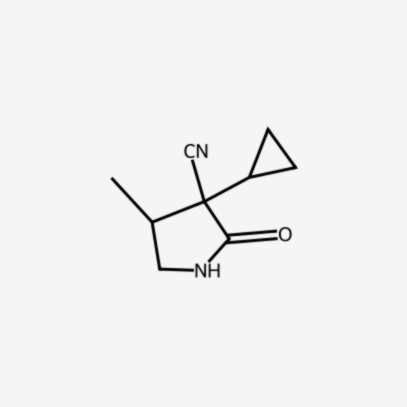 CC1CNC(=O)C1(C#N)C1CC1